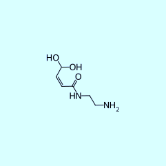 NCCNC(=O)/C=C\C(O)O